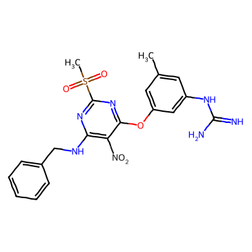 Cc1cc(NC(=N)N)cc(Oc2nc(S(C)(=O)=O)nc(NCc3ccccc3)c2[N+](=O)[O-])c1